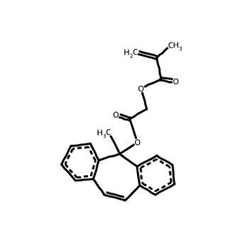 C=C(C)C(=O)OCC(=O)OC1(C)c2ccccc2C=Cc2ccccc21